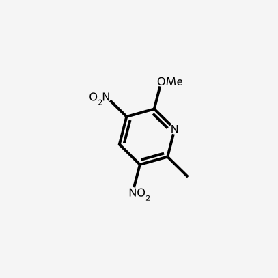 COc1nc(C)c([N+](=O)[O-])cc1[N+](=O)[O-]